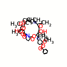 C=CCC1/C=C(/C)CC(C)CC(OC)C2OC(O)(C(=O)C(=O)N3CCCCC3C(=O)OC(/C(C)=C/C3CCC(OC(=O)c4ccccc4)C(OC)C3)C(C)C(O)CC1=O)C(C)CC2OC